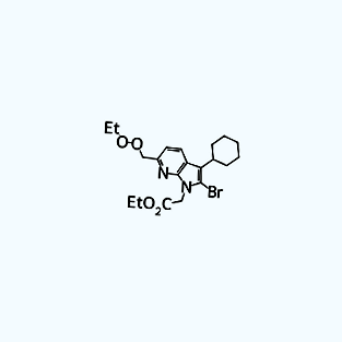 CCOOCc1ccc2c(C3CCCCC3)c(Br)n(CC(=O)OCC)c2n1